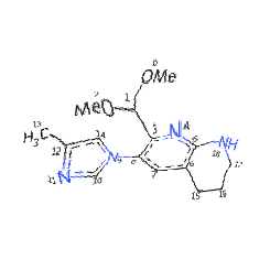 COC(OC)c1nc2c(cc1-n1cnc(C)c1)CCCN2